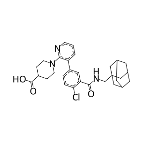 O=C(NCC12CC3CC(CC(C3)C1)C2)c1cc(-c2cccnc2N2CCC(C(=O)O)CC2)ccc1Cl